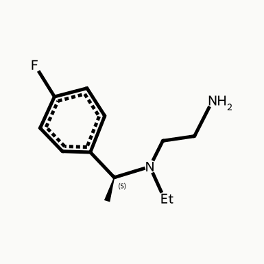 CCN(CCN)[C@@H](C)c1ccc(F)cc1